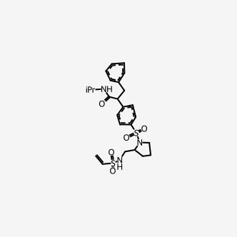 C=CS(=O)(=O)NCC1CCCN1S(=O)(=O)c1ccc(C(Cc2ccccc2)C(=O)NC(C)C)cc1